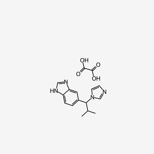 CC(C)C(c1ccc2[nH]cnc2c1)n1ccnc1.O=C(O)C(=O)O